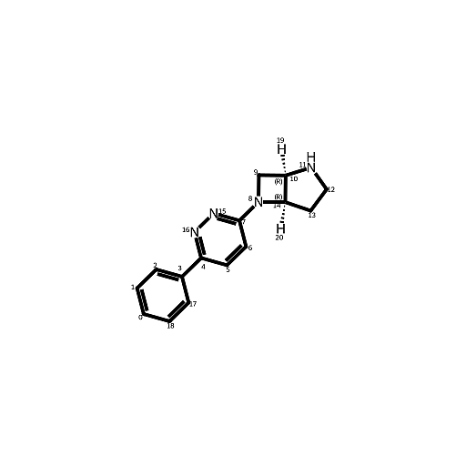 c1ccc(-c2ccc(N3C[C@H]4NCC[C@H]43)nn2)cc1